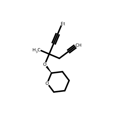 C#CCC(C)(C#CCC)O[C@H]1CCCCO1